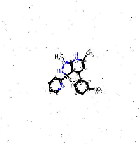 CCOC(=O)C1(c2ccccn2)NN(C)C2=C1C(c1cccc([N+](=O)[O-])c1)C=C(C)N2